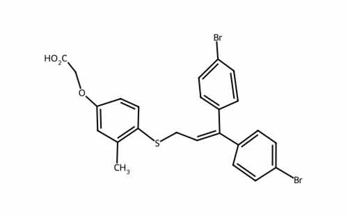 Cc1cc(OCC(=O)O)ccc1SCC=C(c1ccc(Br)cc1)c1ccc(Br)cc1